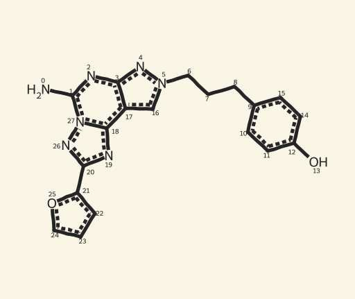 Nc1nc2nn(CCCc3ccc(O)cc3)cc2c2nc(-c3ccco3)nn12